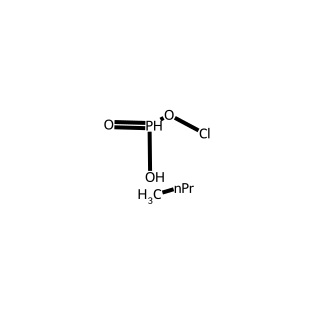 CCCC.O=[PH](O)OCl